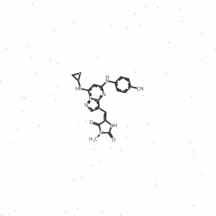 CN1C(=O)NC(=Cc2cnn3c(NC4CC4)cc(Nc4ccc(C#N)cc4)nc23)C1=O